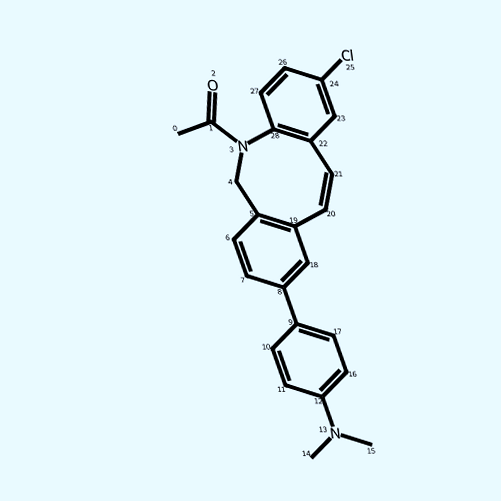 CC(=O)N1Cc2ccc(-c3ccc(N(C)C)cc3)cc2C=Cc2cc(Cl)ccc21